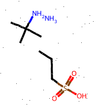 CC(C)(C)N.CCCS(=O)(=O)O.N